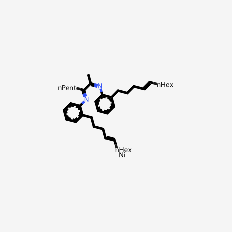 CCCCCCC=CCCCc1ccccc1N=C(C)C(CCCCC)=Nc1ccccc1CCCC=CCCCCCC.[Ni]